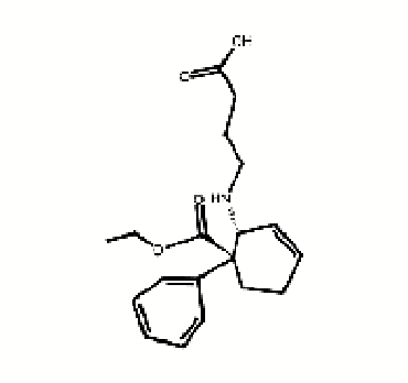 CCOC(=O)[C@]1(c2ccccc2)CCC=C[C@H]1NCCCC(=O)O